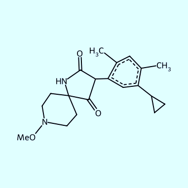 CON1CCC2(CC1)NC(=O)C(c1cc(C3CC3)c(C)cc1C)C2=O